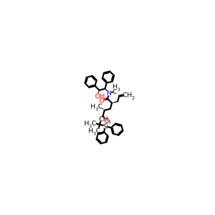 C=CC[C@@H](C[C@@H](C)CO[Si](c1ccccc1)(c1ccccc1)C(C)(C)C)C(=O)N(C)[C@H](c1ccccc1)[C@@H](O)c1ccccc1